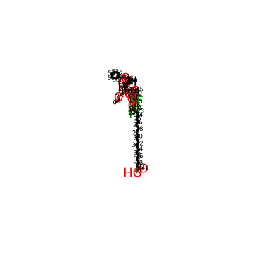 CCOCO[C@@H]1[C@H](OS(=O)(=O)C(F)(F)C(F)(F)OC(F)(F)C(F)(F)CCCCCCCCCCCCCCCCC(=O)O)[C@H](OC)O[C@@H]2COC(c3ccccc3)O[C@@H]12